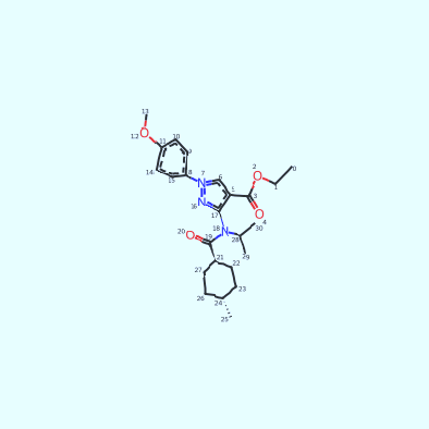 CCOC(=O)c1cn(-c2ccc(OC)cc2)nc1N(C(=O)[C@H]1CC[C@H](C)CC1)C(C)C